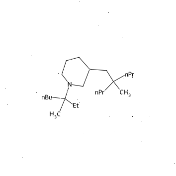 CCCCC(C)(CC)N1CCCC(CC(C)(CCC)CCC)C1